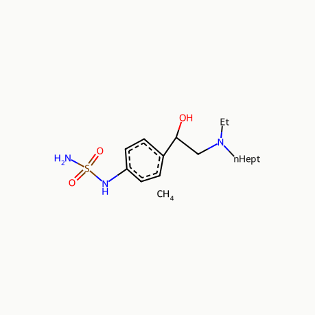 C.CCCCCCCN(CC)CC(O)c1ccc(NS(N)(=O)=O)cc1